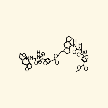 CCOC(=O)c1coc(S(=O)(=O)NC(=O)Nc2c3c(cc4c2CCC4CCOC(=O)c2coc(S(=O)(=O)NC(=O)Nc4c5ccoc5cc5ccoc45)c2)CCC3)c1